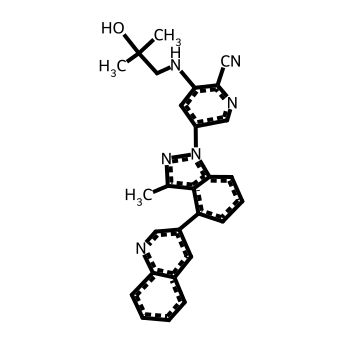 Cc1nn(-c2cnc(C#N)c(NCC(C)(C)O)c2)c2cccc(-c3cnc4ccccc4c3)c12